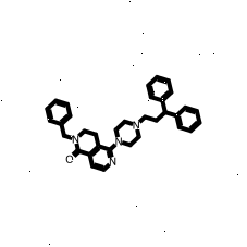 O=C1c2ccnc(N3CCN(CCC(c4ccccc4)c4ccccc4)CC3)c2CCN1Cc1ccccc1